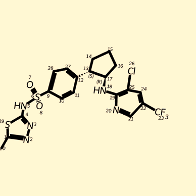 CC(C)c1nnc(NS(=O)(=O)c2ccc([C@@H]3CCC[C@H]3Nc3ncc(C(F)(F)F)cc3Cl)cc2)s1